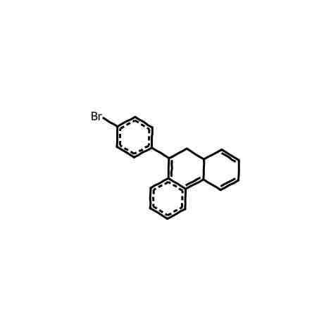 Brc1ccc(C2=c3ccccc3=C3C=CC=CC3C2)cc1